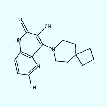 N#Cc1ccc2[nH]c(=O)c(C#N)c(N3CCC4(CCC4)CC3)c2n1